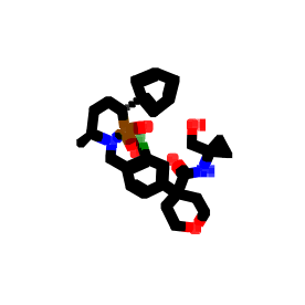 C[C@H]1CC[C@H](c2ccccc2)S(=O)(=O)N1Cc1ccc(C2(C(=O)NC3(CO)CC3)CCOCC2)cc1F